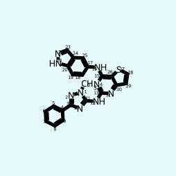 Cn1nc(-c2ccccc2)nc1Nc1nc(Nc2ccc3[nH]ncc3c2)c2sccc2n1